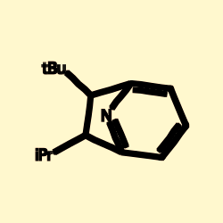 CC(C)C1c2cccc(n2)C1C(C)(C)C